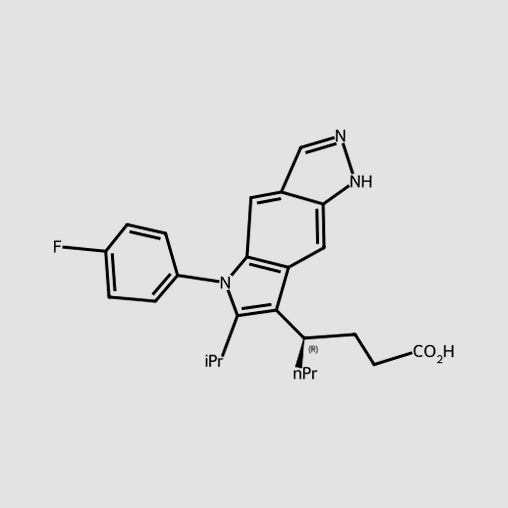 CCC[C@H](CCC(=O)O)c1c(C(C)C)n(-c2ccc(F)cc2)c2cc3cn[nH]c3cc12